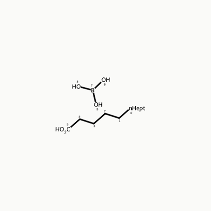 CCCCCCCCCCCC(=O)O.OB(O)O